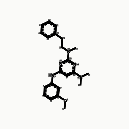 COc1cccc(Nc2cc(N(C)C)nc(N(C)CCc3ccccc3)n2)c1